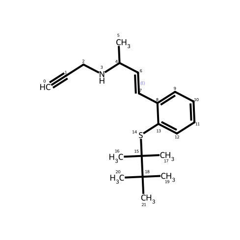 C#CCNC(C)/C=C/c1ccccc1SC(C)(C)C(C)(C)C